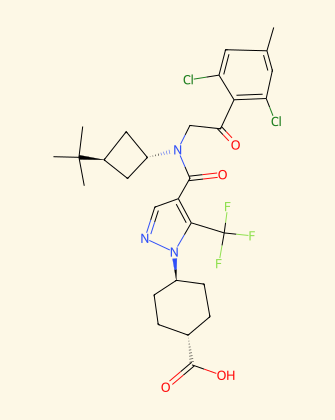 Cc1cc(Cl)c(C(=O)CN(C(=O)c2cnn([C@H]3CC[C@H](C(=O)O)CC3)c2C(F)(F)F)[C@H]2C[C@H](C(C)(C)C)C2)c(Cl)c1